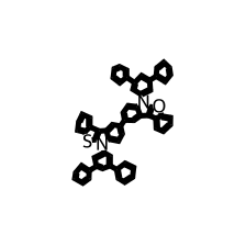 c1ccc(-c2cc(-c3ccccc3)cc(-n3c4ccc(-c5ccc6c(c5)c5c7ccccc7sc5n6-c5cc(-c6ccccc6)cc(-c6ccccc6)c5)cc4c4c5ccccc5oc43)c2)cc1